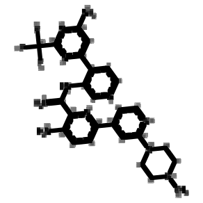 C=C(Nc1cnccc1-c1cc(N)nc(C(F)(F)F)n1)c1nc(-c2ccnc(N3CCN(C)CC3)c2)ccc1N